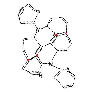 c1ccc(N(c2ccccn2)c2ccccc2-c2ccccc2N(c2ccccn2)c2ccccn2)nc1